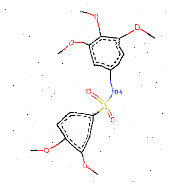 COc1ccc(S(=O)(=O)Nc2cc(OC)c(OC)c(OC)c2)cc1OC